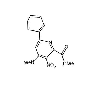 CNc1cc(-c2ccccc2)nc(C(=O)OC)c1[N+](=O)[O-]